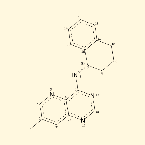 Cc1cnc2c(N[C@H]3CCCc4ccccc43)ncnc2c1